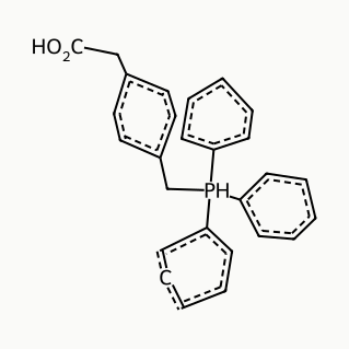 O=C(O)Cc1ccc(C[PH](c2ccccc2)(c2ccccc2)c2ccccc2)cc1